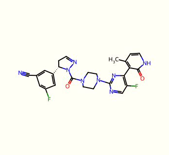 Cc1cc[nH]c(=O)c1-c1nc(N2CCN(C(=O)N3N=CC[C@H]3c3cc(F)cc(C#N)c3)CC2)ncc1F